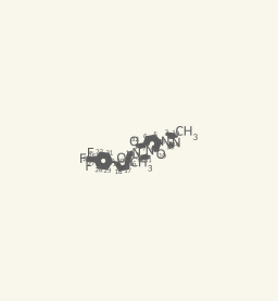 Cc1cn(-c2ccc3n(c2=O)CCN(C[C@@]2(C)CC[C@@H](c4ccc(C(F)(F)F)cc4)O2)C3=O)cn1